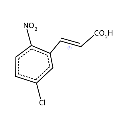 O=C(O)/C=C/c1cc(Cl)ccc1[N+](=O)[O-]